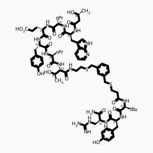 CCC[C@H](NC(=O)[C@H](Cc1c[nH]c2ncccc12)NC(=O)C[C@@H](C)O)C(=O)N[C@@H](CCC(=O)O)C(=O)N[C@@H](Cc1ccc(O)cc1)C(=O)N[C@@H](CCC)C(=O)N[C@H](C(=O)NCCSCc1cccc(CSCCC(=O)N[C@H](C(=O)N[C@@H](Cc2ccc(O)cc2)C(=O)N[C@@H](CNC(=N)N)C(N)=O)C(C)(C)C)c1)[C@@H](C)O